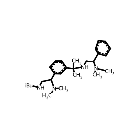 CCC(C)NCC(c1cccc(C(C)(C)NC[C@@H](c2ccccc2)N(C)C)c1)N(C)C